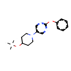 CC(C)[Si](OC1CCN(c2cnc(Oc3ccccc3)nc2)CC1)(C(C)C)C(C)C